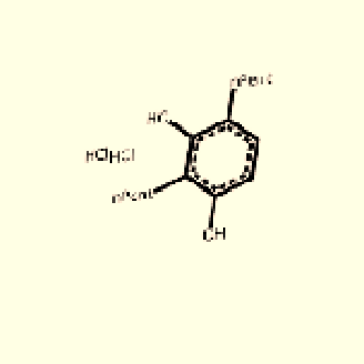 CCCCCc1ccc(O)c(CCCCC)c1O.Cl.Cl